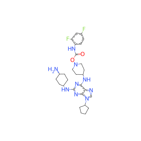 N[C@H]1CC[C@H](Nc2nc(NC3CCN(OC(=O)Nc4ccc(F)cc4F)CC3)c3ncn(C4CCCC4)c3n2)CC1